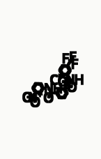 O=C(Nc1cccc([N+](=O)[O-])c1)c1cccc(S(=O)(=O)Nc2cc(C(F)(F)F)ccc2Cl)c1